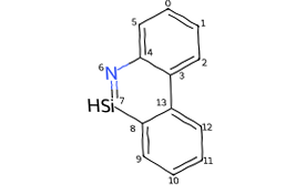 c1ccc2c(c1)n[siH]c1ccccc12